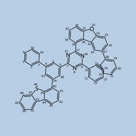 c1ccc(-c2cc(-c3nc(-c4ccccc4)nc(-c4cccc5oc6ccc(-c7ccccc7)cc6c45)n3)cc(-c3cccc4c3sc3ccccc34)c2)cc1